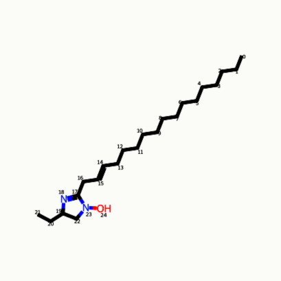 CCCCCCCCCCCCCCC=CCC1=NC(CC)CN1O